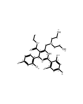 CCOC(=O)C1=C(CN(CCO)CCO)NC(c2c(F)cc(F)cc2F)=NC1c1ccc(F)cc1Cl